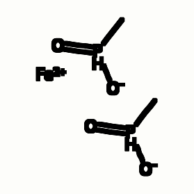 C[PH](=O)[O-].C[PH](=O)[O-].[Fe+2]